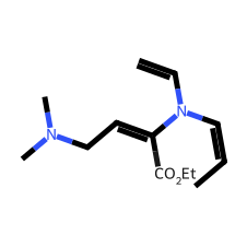 C=CN(/C=C\C)/C(=C/CN(C)C)C(=O)OCC